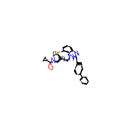 O=C(C1CC1)N1CC[C@@H](Cn2c(-c3ccc(-c4ccccc4)cc3)nc3cccc(Br)c32)C1